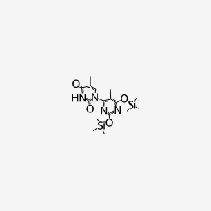 Cc1c(O[Si](C)(C)C)nc(O[Si](C)(C)C)nc1-n1cc(C)c(=O)[nH]c1=O